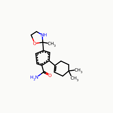 CC1(C)CC=C(c2cc(C3(C)NCCO3)ccc2C(N)=O)CC1